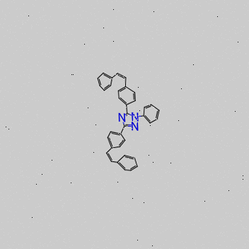 C(=C/c1ccc(-c2nc(-c3ccc(/C=C\c4ccccc4)cc3)n(-c3ccccc3)n2)cc1)/c1ccccc1